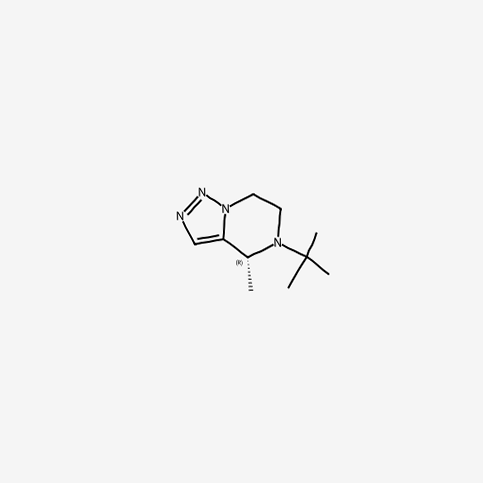 C[C@@H]1c2cnnn2CCN1C(C)(C)C